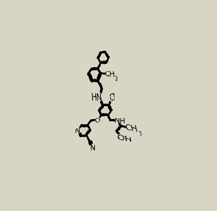 Cc1c(CNc2cc(OCc3cncc(C#N)c3)c(CNC(C)CO)cc2Cl)cccc1-c1ccccc1